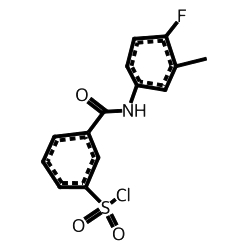 Cc1cc(NC(=O)c2cccc(S(=O)(=O)Cl)c2)ccc1F